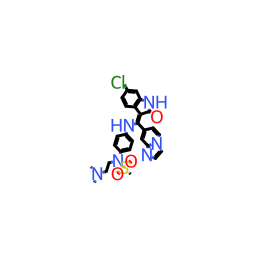 CN(C)CCN(c1ccc(NC(=C2C(=O)Nc3cc(Cl)ccc32)c2ccn3ccnc3c2)cc1)S(C)(=O)=O